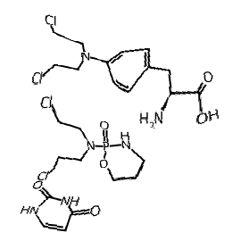 N[C@@H](Cc1ccc(N(CCCl)CCCl)cc1)C(=O)O.O=P1(N(CCCl)CCCl)NCCCO1.O=c1cc[nH]c(=O)[nH]1